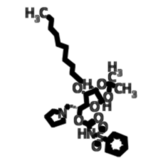 CCCCCCCCCCO[C@@H]1[C@H]2OC(C)(C)O[C@H]2O[C@@H]1[C@@H](CN1CCCC1)OC(=O)NS(=O)(=O)c1ccccc1